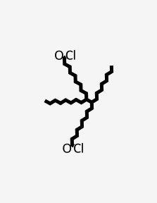 CCCCCCCCC(CCCCCCCCC(=O)Cl)C(CCCCCCCC)CCCCCCCCC(=O)Cl